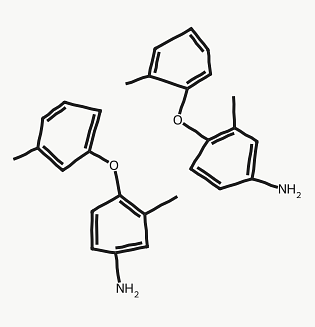 Cc1cccc(Oc2ccc(N)cc2C)c1.Cc1ccccc1Oc1ccc(N)cc1C